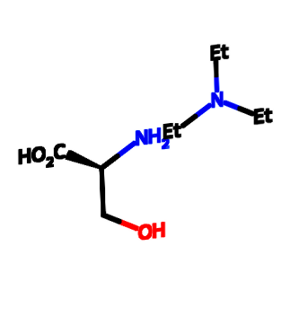 CCN(CC)CC.N[C@@H](CO)C(=O)O